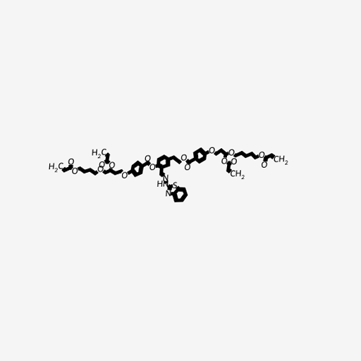 C=CC(=O)OCCCCCOC(CCOc1ccc(C(=O)OCCc2ccc(OC(=O)c3ccc(OCCC(COCCCCOC(=O)C=C)OC(=O)C=C)cc3)c(/C=N/Nc3nc4ccccc4s3)c2)cc1)OC(=O)C=C